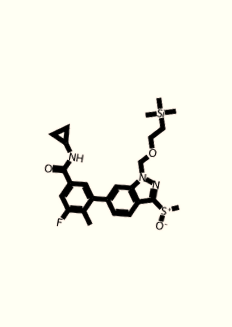 Cc1c(F)cc(C(=O)NC2CC2)cc1-c1ccc2c([S+](C)[O-])nn(COCC[Si](C)(C)C)c2c1